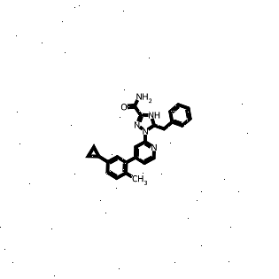 Cc1ccc(C2CC2)cc1-c1ccnc(N2N=C(C(N)=O)NC2Cc2ccccc2)c1